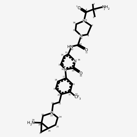 CC(C)(N)C(=O)N1CCN(C(=O)Nc2ccn(-c3ccc(CCN4CCC5CC5(N)C4)c(C(F)(F)F)c3)c(=O)n2)CC1